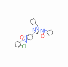 O=C(Nc1cc(-c2ccc(NC(=O)c3ccccc3Cl)cc2)nn1Cc1ccccc1)c1ccccc1